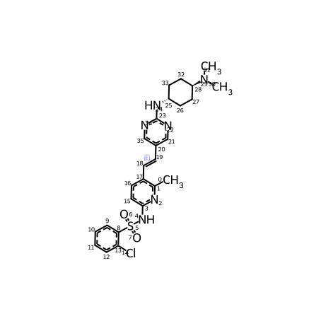 Cc1nc(NS(=O)(=O)c2ccccc2Cl)ccc1/C=C/c1cnc(N[C@H]2CC[C@H](N(C)C)CC2)nc1